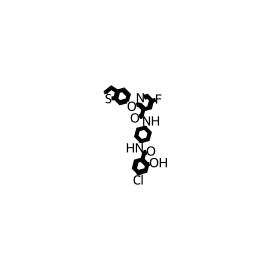 O=C(NC1CCC(NC(=O)c2cc(F)cnc2Oc2ccc3c(c2)SCC3)CC1)c1ccc(Cl)cc1O